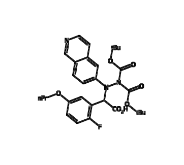 CCCOc1ccc(F)c(C(C(=O)O)N(c2ccc3cnccc3c2)N(C(=O)OC(C)(C)C)C(=O)OC(C)(C)C)c1